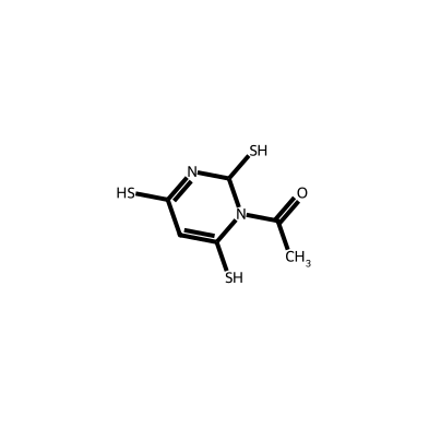 CC(=O)N1C(S)=CC(S)=NC1S